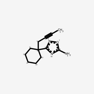 CC#CCC1(c2noc(N)n2)CCCCC1